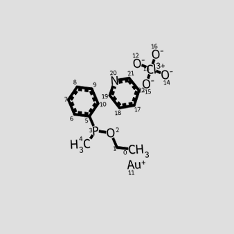 CCOP(C)c1ccccc1.[Au+].[O-][Cl+3]([O-])([O-])[O-].c1ccncc1